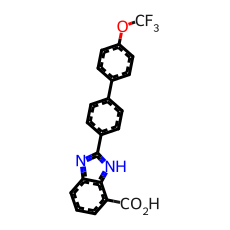 O=C(O)c1cccc2nc(-c3ccc(-c4ccc(OC(F)(F)F)cc4)cc3)[nH]c12